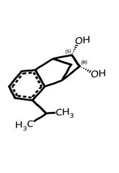 CC(C)c1cccc2c1C1CC2[C@H](O)[C@@H]1O